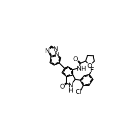 O=C1NC(c2cc(F)ccc2Cl)c2c(NC(=O)C3CCCO3)cc(-c3ccc4ncnn4c3)cc21